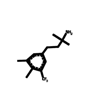 Cc1cc(CCC(C)(C)N)cc(C(F)(F)F)c1C